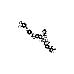 COC(=O)C(Cc1ccc(-c2ccnc(C)c2C)cc1)NC(=O)[C@@H]1Cc2cc3c(cc2CN1C(=O)c1cnccn1)O[C@@H](c1ccc(OCc2ccc(Cl)c(Cl)c2)cc1)CO3